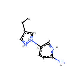 CCc1cnn(-c2ccc(N)nc2)c1